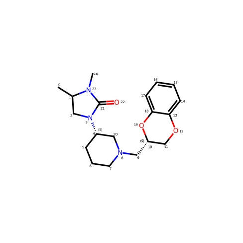 CC1CN([C@H]2CCCN(C[C@H]3COc4ccccc4O3)C2)C(=O)N1C